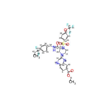 CCOC(=O)c1ccc2ncc(N3CCN(S(=O)(=O)c4ccc(OC(F)(F)F)cc4)C(C(=O)NCc4ccc(C(F)(F)CC)cc4)C3)nc2c1